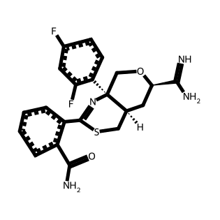 N=C(N)[C@H]1C[C@H]2CSC(c3ccccc3C(N)=O)=N[C@@]2(c2ccc(F)cc2F)CO1